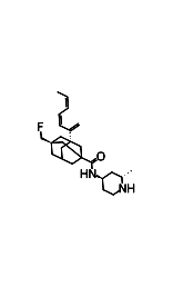 C=C(/C=C\C=C/C)[C@]12CC3CC(C(=O)N[C@@H]4CCN[C@@H](C)C4)(C[C@](CF)(C3)C1)C2